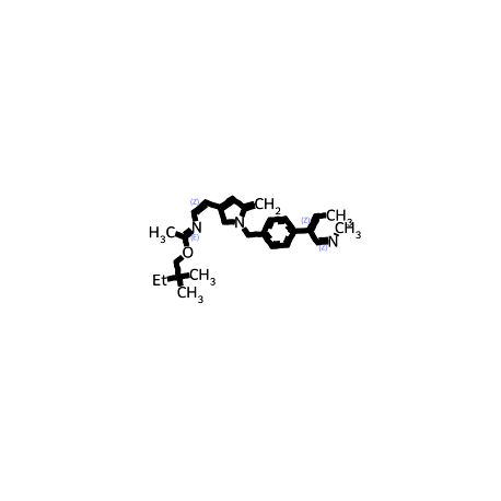 C=C1C=C(/C=C\N=C(/C)OCC(C)(C)CC)CN1Cc1ccc(C(/C=N\C)=C/C)cc1